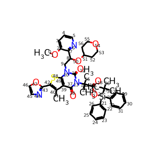 COc1cccnc1C(Cn1c(=O)n(C(C)(C)C(=O)O[Si](c2ccccc2)(c2ccccc2)C(C)(C)C)c(=O)c2c(C)c(-c3ncco3)sc21)OC1CCOCC1